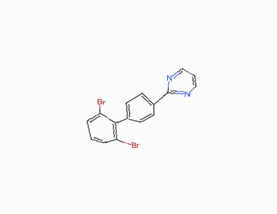 Brc1cccc(Br)c1-c1ccc(-c2ncccn2)cc1